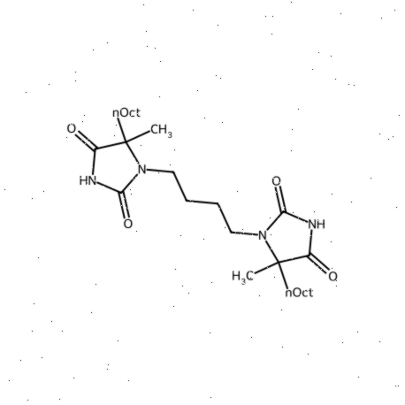 CCCCCCCCC1(C)C(=O)NC(=O)N1CCCCN1C(=O)NC(=O)C1(C)CCCCCCCC